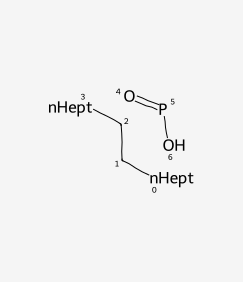 CCCCCCCCCCCCCCCC.O=PO